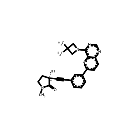 CN1CC[C@@](O)(C#Cc2cccc(-c3ccc4ncnc(N5CC(C)(C)C5)c4n3)c2)C1=O